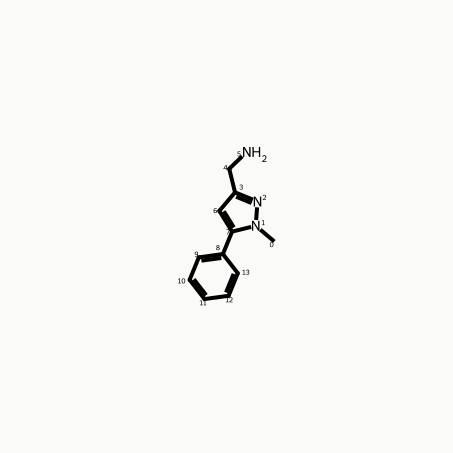 Cn1nc(CN)cc1-c1ccccc1